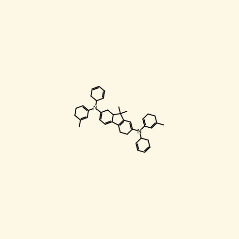 CC1=CC(N(C2=CC3=C(CC2)C2=CC=C(N(C4=CCCC(C)=C4)C4C=CC=CC4)CC2C3(C)C)C2C=CC=CC2)=CCC1